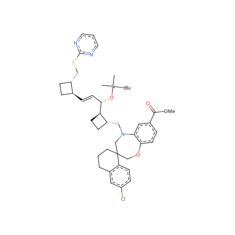 COC(=O)c1ccc2c(c1)N(C[C@@H]1CC[C@H]1[C@H](/C=C/[C@H]1CC[C@@H]1CSc1ncccn1)O[Si](C)(C)C(C)(C)C)CC1(CCCc3cc(Cl)ccc31)CO2